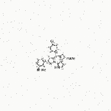 CNC1CN(C(C2=C(c3nnc[nH]3)SC(c3ccnc(NC(C)=O)c3)C2)c2ccc(Cl)cc2)C1